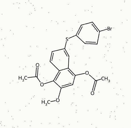 COc1cc(OC(C)=O)c2cc(Sc3ccc(Br)cc3)ccc2c1OC(C)=O